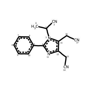 CC(C#N)n1c(-c2ccccc2)nc(CC#N)c1CC#N